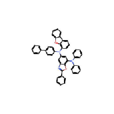 c1ccc(-c2ccc(N(c3cc(N(c4ccccc4)c4ccccc4)c4oc(-c5ccccc5)nc4c3)c3cccc4c3oc3ccccc34)cc2)cc1